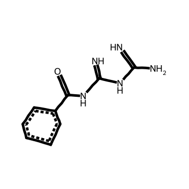 N=C(N)NC(=N)NC(=O)c1ccccc1